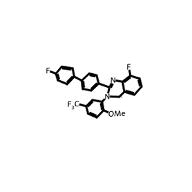 COc1ccc(C(F)(F)F)cc1N1[C]c2cccc(F)c2N=C1c1ccc(-c2ccc(F)cc2)cc1